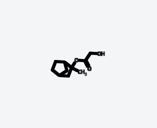 CC1(OC(=O)CO)CC2CCC1C2